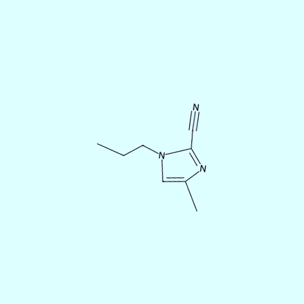 CCCn1cc(C)nc1C#N